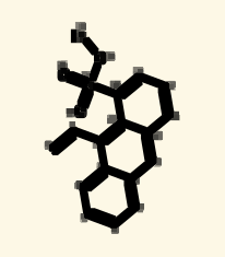 C=Cc1c2ccccc2cc2cccc(S(=O)(=O)OCC)c12